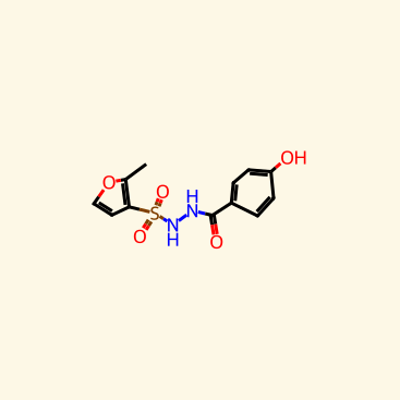 Cc1occc1S(=O)(=O)NNC(=O)c1ccc(O)cc1